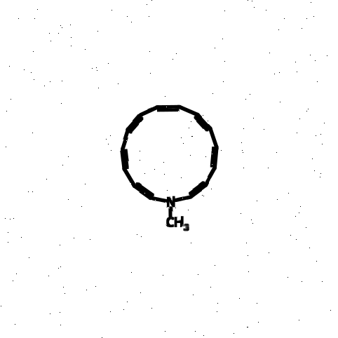 CN1\C=C/C=C\C=C/C=C\C=C/C=C\C=C/1